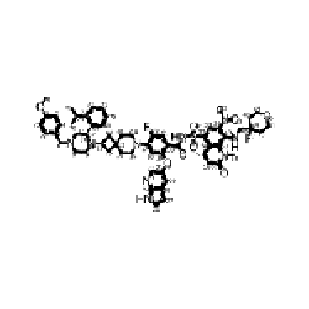 COc1ccc(CN2CCN(C3CC4(CCN(c5cc(Oc6cnc7[nH]ccc7c6)c(C(=O)NS(=O)(=O)c6cc([N+](=O)[O-])c(NCC7(F)CCOCC7)c7c6ccc(=O)n7C)cc5F)CC4)C3)[C@H](c3ccccc3C(C)C)C2)cc1